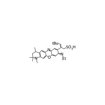 CC/N=c1\cc2oc3cc4c(cc3nc-2cc1/C(=C\C(C)(C)C)CS(=O)(=O)O)C(C)CC(C)(C)N4C